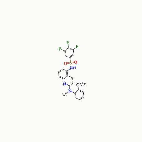 CCN(c1ccc2c(NS(=O)(=O)c3cc(F)c(F)c(F)c3)cccc2n1)c1ccccc1OC